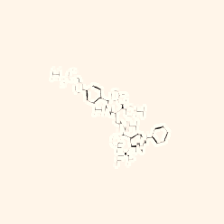 CCOc1ccc(C(=O)NC(CNC(=O)c2cn(-c3ccccc3)nc2C(F)(F)F)C(=O)O)cc1